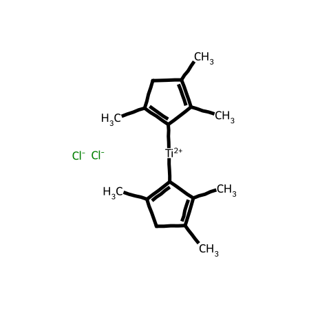 CC1=C(C)[C]([Ti+2][C]2=C(C)CC(C)=C2C)=C(C)C1.[Cl-].[Cl-]